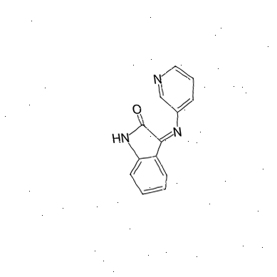 O=C1Nc2ccccc2/C1=N/c1cccnc1